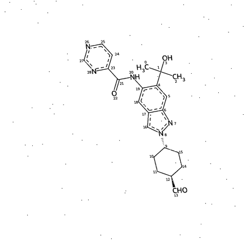 CC(C)(O)c1cc2nn([C@H]3CC[C@H](C=O)CC3)cc2cc1NC(=O)c1ccncn1